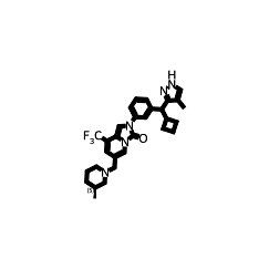 Cc1c[nH]nc1C(c1cccc(-n2cc3c(C(F)(F)F)cc(CN4CCC[C@H](C)C4)cn3c2=O)c1)C1CCC1